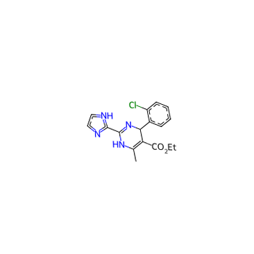 CCOC(=O)C1=C(C)NC(c2ncc[nH]2)=NC1c1ccccc1Cl